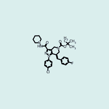 CC(C)(C)OC(=O)N1CC(=Cc2ccc(F)cc2)c2c(c(C(=O)NN3CCCCC3)nn2-c2ccc(Cl)cc2)C1